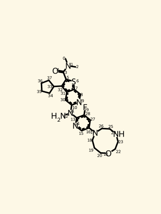 CN(C)C(=O)c1sc2cnc(N(N)c3ncc(N4CCCOCCNCC4)cc3F)cc2c1C1CCCC1